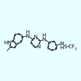 Cc1cc2cc(Nc3ccnc(Nc4cccc(NSC(F)(F)F)c4)n3)ccc2[nH]1